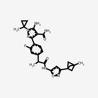 CC(C(=O)Nc1cc(C23CC(C)(C2)C3)no1)c1ccc(-c2nn(C3(C)CC3)c(N)c2C(N)=O)c(F)c1